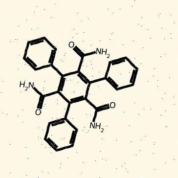 NC(=O)c1c(-c2ccccc2)c(C(N)=O)c(-c2ccccc2)c(C(N)=O)c1-c1ccccc1